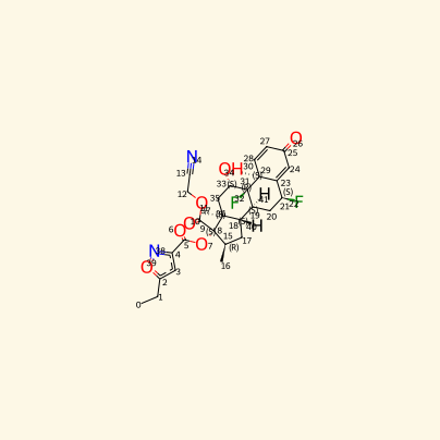 CCc1cc(C(=O)O[C@@]2(C(=O)OCC#N)[C@H](C)C[C@H]3[C@@H]4C[C@H](F)C5=CC(=O)C=C[C@]5(C)[C@@]4(F)[C@@H](O)C[C@@]32C)no1